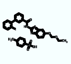 CCOCOc1ccc2nc(NC(=O)c3cccc(-c4ccccc4I)c3)sc2c1.Cc1ccc(S(=O)(=O)O)cc1